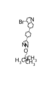 C[Si](C)(C)CCOCn1cc(-c2ccc(-c3ccc4nccc(Br)c4c3)cc2)cn1